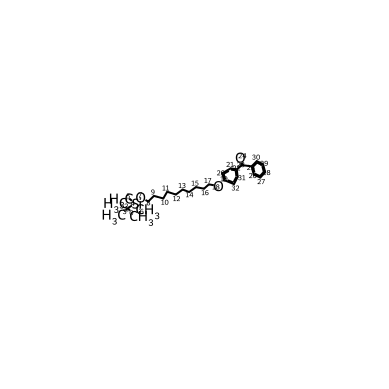 CC(C)(C)[Si](C)(C)OCCCCCCCCCCOc1ccc(C(=O)c2ccccc2)cc1